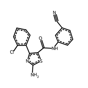 N#Cc1cccc(NC(=O)c2sc(N)nc2-c2ccccc2Cl)c1